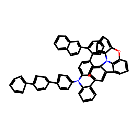 c1ccc(-c2ccc(-c3ccc(N(c4ccc(-c5ccccc5-c5ccc6ccccc6c5)cc4)c4ccccc4-c4ccc5c(c4)c4cccc6c4n5-c4ccccc4O6)cc3)cc2)cc1